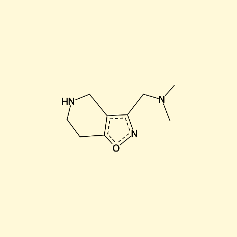 CN(C)Cc1noc2c1CNCC2